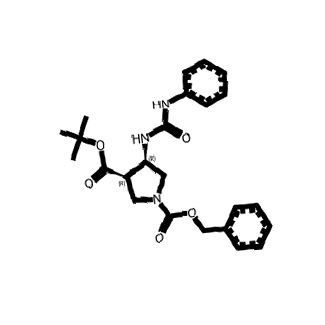 CC(C)(C)OC(=O)[C@@H]1CN(C(=O)OCc2ccccc2)C[C@@H]1NC(=O)Nc1ccccc1